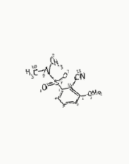 COc1cccc(S(=O)(=O)N(C)C)c1C#N